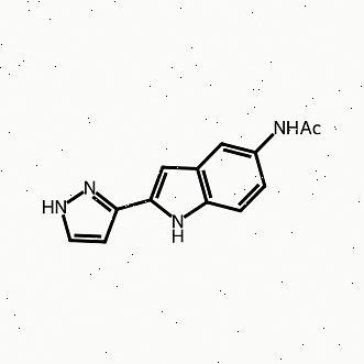 CC(=O)Nc1ccc2[nH]c(-c3cc[nH]n3)cc2c1